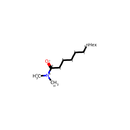 [CH2]CCCCCCCCCCC(=O)N(C)C